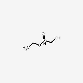 NCO[PH](=O)CO